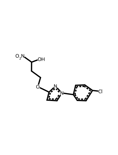 O=[N+]([O-])C(O)CCOc1ccn(-c2ccc(Cl)cc2)n1